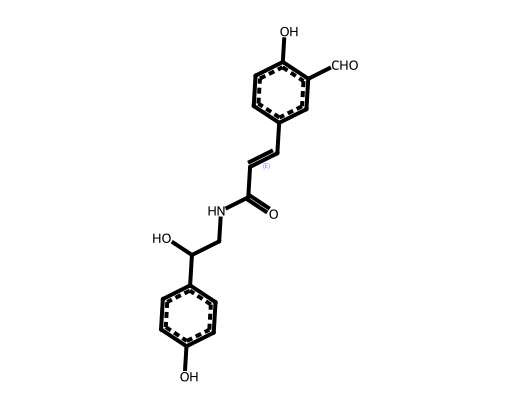 O=Cc1cc(/C=C/C(=O)NCC(O)c2ccc(O)cc2)ccc1O